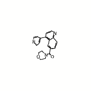 O=C(c1ccc2nccc(-c3ccncc3)c2c1)N1CCOCC1